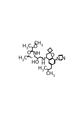 C=CC[C@H](NC(=O)[C@@H](C)OC)[C@H](O)CN[C@H]1CC2(CCC2)Oc2c1cc(CC(C)C)cc2-n1ccnc1